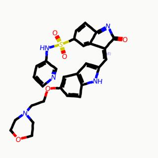 O=C1N=C2C=CC(S(=O)(=O)Nc3cccnc3)C=C2/C1=C\c1cc2cc(OCCN3CCOCC3)ccc2[nH]1